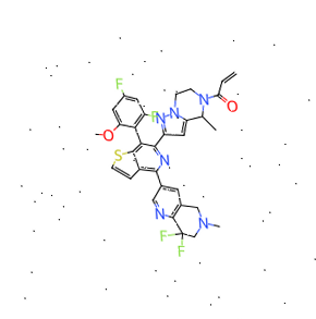 C=CC(=O)N1CCn2nc(-c3nc(-c4cnc5c(c4)CN(C)CC5(F)F)c4ccsc4c3-c3c(F)cc(F)cc3OC)cc2C1C